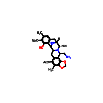 COc1c(C)cc2c(c1O)C1N[C@H](C2)[C@H](C#N)N2C1Cc1c(OC(C)=O)c(C)c3c(c1[C@@H]2CN)OCO3